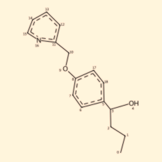 CCCC(O)c1ccc(OCc2ccccn2)cc1